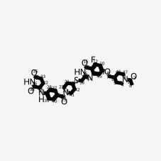 CC(=O)N1CCC(COc2cc(F)c3c(=O)[nH]c(CSC4CCN(C(=O)c5ccc(NC6CCC(=O)NC6=O)cc5)CC4)nc3c2)CC1